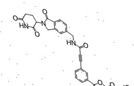 CC(C)(C)C(=O)OCOC(=O)c1cccc(C#CC(=O)NCc2ccc3c(c2)CN(C2CCC(=O)NC2=O)C3=O)c1